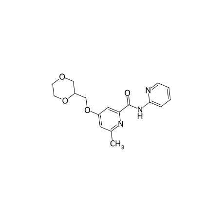 Cc1cc(OCC2COCCO2)cc(C(=O)Nc2ccccn2)n1